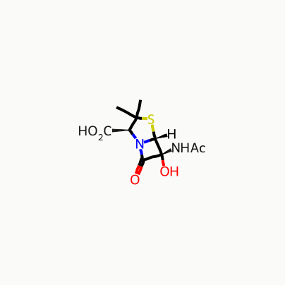 CC(=O)N[C@@]1(O)C(=O)N2[C@@H](C(=O)O)C(C)(C)S[C@@H]21